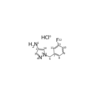 Cl.Nc1cnn(Cc2cccc(F)c2)c1